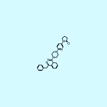 O=C1CCCN1c1ccc(N2CCN(C3=NN=C(Cc4ccccc4)C4=CC=CCC43)CC2)nc1